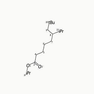 CC(C)OC(=O)CCCCC(CC(C)(C)C)C(C)C